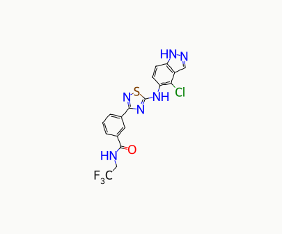 O=C(NCC(F)(F)F)c1cccc(-c2nsc(Nc3ccc4[nH]ncc4c3Cl)n2)c1